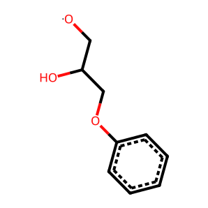 [O]CC(O)COc1ccccc1